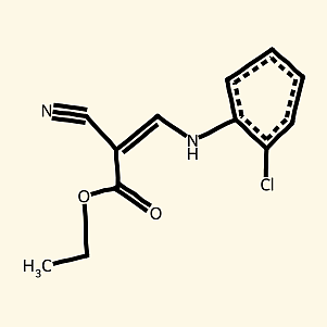 CCOC(=O)C(C#N)=CNc1ccccc1Cl